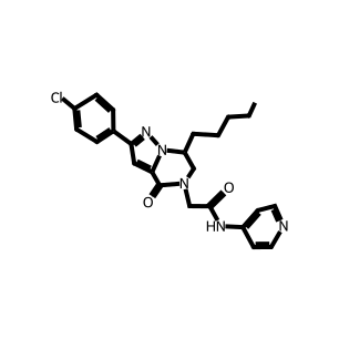 CCCCCC1CN(CC(=O)Nc2ccncc2)C(=O)c2cc(-c3ccc(Cl)cc3)nn21